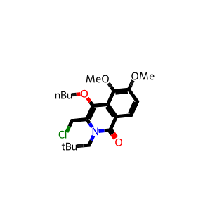 CCCCOc1c(CCl)n(CC(C)(C)C)c(=O)c2ccc(OC)c(OC)c12